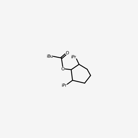 CCC(C)C(=O)OC1C(C(C)C)CCCC1C(C)C